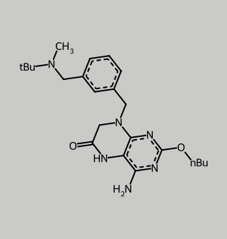 CCCCOc1nc(N)c2c(n1)N(Cc1cccc(CN(C)C(C)(C)C)c1)CC(=O)N2